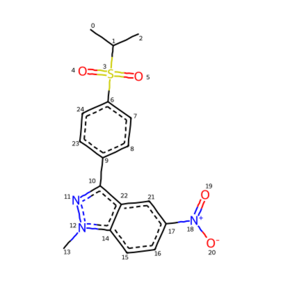 CC(C)S(=O)(=O)c1ccc(-c2nn(C)c3ccc([N+](=O)[O-])cc23)cc1